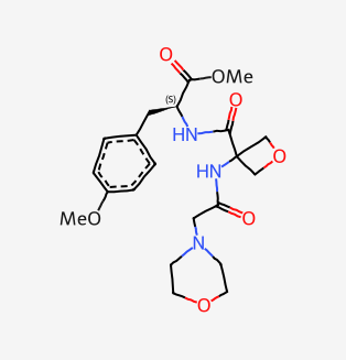 COC(=O)[C@H](Cc1ccc(OC)cc1)NC(=O)C1(NC(=O)CN2CCOCC2)COC1